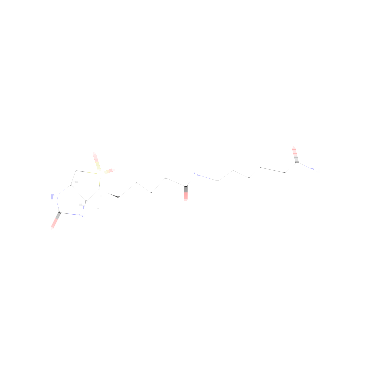 NC(=O)CCCCCNC(=O)CCCC[C@H]1[C@H]2NC(=O)N[C@H]2CS1(=O)=O